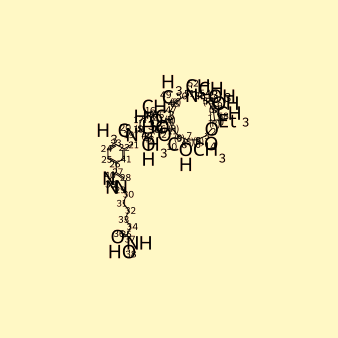 CC[C@H]1OC(=O)[C@H](C)[C@@H](O)[C@H](C)[C@@H](O[C@@H]2O[C@H](C)C[C@H](N(C)Cc3cccc(-c4cn(CCCCCC(=O)NO)nn4)c3)[C@H]2O)[C@](C)(O)C[C@@H](C)CN(C)[C@H](C)[C@@H](O)[C@]1(C)O